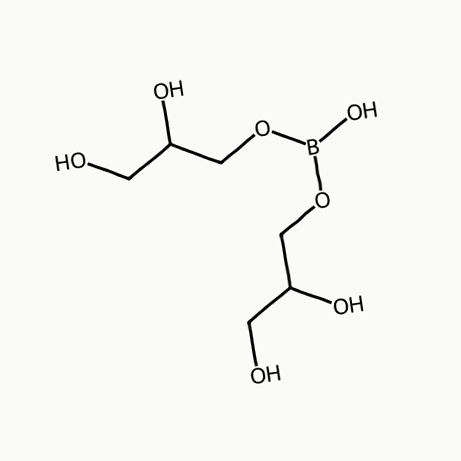 OCC(O)COB(O)OCC(O)CO